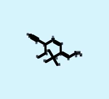 CCC(C#N)/N=C\C(=C/N)C(C)(C)C